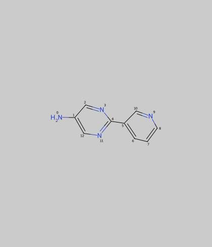 Nc1cnc(-c2cccnc2)nc1